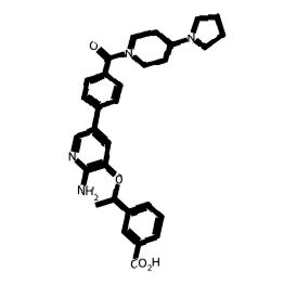 CC(Oc1cc(-c2ccc(C(=O)N3CCC(N4CCCC4)CC3)cc2)cnc1N)c1cccc(C(=O)O)c1